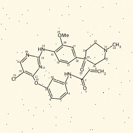 C=CC(=O)Nc1cccc(Oc2nc(Nc3ccc(P4(=O)CCN(C)CC4)cc3OC)ncc2Cl)c1